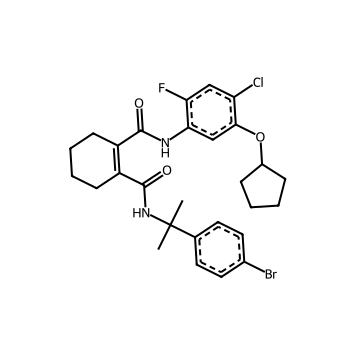 CC(C)(NC(=O)C1=C(C(=O)Nc2cc(OC3CCCC3)c(Cl)cc2F)CCCC1)c1ccc(Br)cc1